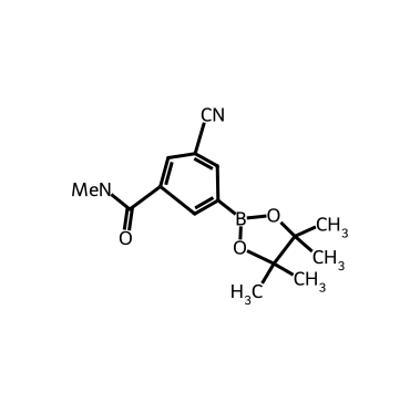 CNC(=O)c1cc(C#N)cc(B2OC(C)(C)C(C)(C)O2)c1